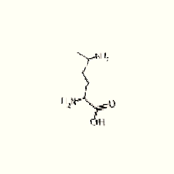 CC(N)CCC(N)C(=O)O